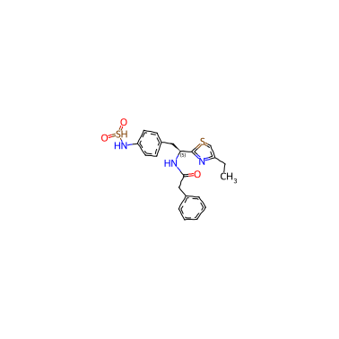 CCc1csc([C@H](Cc2ccc(N[SH](=O)=O)cc2)NC(=O)Cc2ccccc2)n1